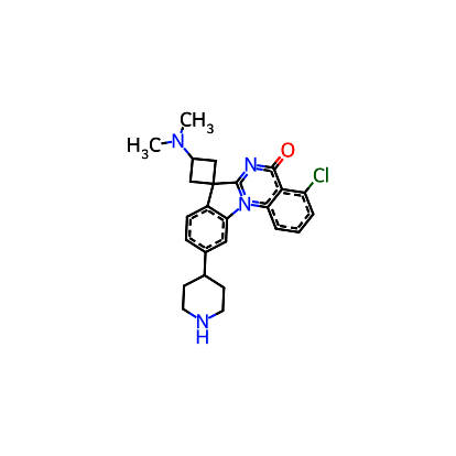 CN(C)C1CC2(C1)c1ccc(C3CCNCC3)cc1-n1c2nc(=O)c2c(Cl)cccc21